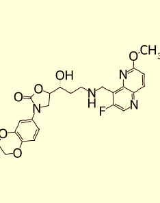 COc1ccc2ncc(F)c(CNCC[C@@H](O)C3CN(c4ccc5c(c4)OCCO5)C(=O)O3)c2n1